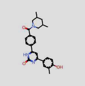 Cc1cc(-c2cc(-c3ccc(C(=O)N4CC(C)CC(C)C4)cc3)[nH]c(=O)n2)ccc1O